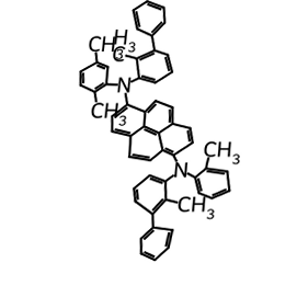 Cc1ccc(C)c(N(c2cccc(-c3ccccc3)c2C)c2ccc3ccc4c(N(c5ccccc5C)c5cccc(-c6ccccc6)c5C)ccc5ccc2c3c54)c1